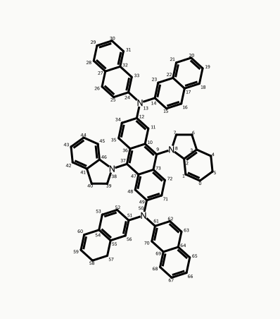 C1=CC2=C(CC1)CCN2c1c2cc(N(c3ccc4ccccc4c3)c3ccc4ccccc4c3)ccc2c(N2CCc3ccccc32)c2cc(N(c3ccc4c(c3)CCC=C4)c3ccc4ccccc4c3)ccc12